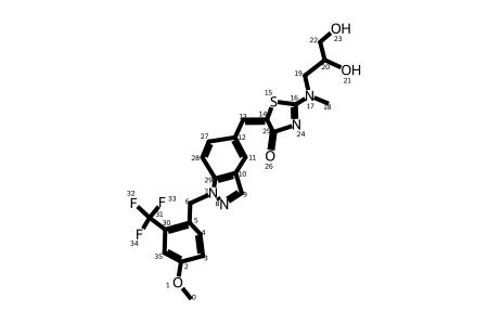 COc1ccc(Cn2ncc3cc(C=C4SC(N(C)CC(O)CO)=NC4=O)ccc32)c(C(F)(F)F)c1